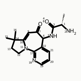 C[C@H](N)C(=O)NC1C(=O)C=C2N(CCC2(C)C)c2ncccc21